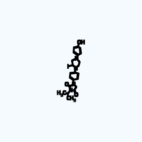 CC(C)N1C(=O)CN(c2ccc(N3CCN(c4ccc(O)cc4)CC3I)cc2)C1=O